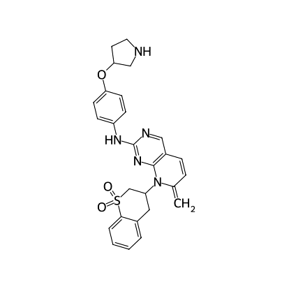 C=C1C=Cc2cnc(Nc3ccc(OC4CCNC4)cc3)nc2N1C1Cc2ccccc2S(=O)(=O)C1